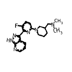 CN(C)CC1CCCN(c2ccc(F)c(-c3n[nH]c4ncccc34)n2)C1